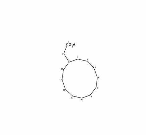 O=C(O)CC1CCCCCCCCCCC1